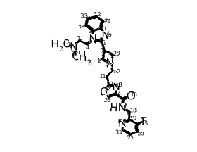 CN(C)CCn1c(C2CN(CCc3nc(C(=O)NCc4ncccc4F)co3)C2)nc2ccccc21